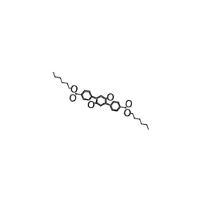 CCCCCCOC(=O)c1ccc2c(c1)oc1cc3c(cc12)oc1cc(C(=O)OCCCCCC)ccc13